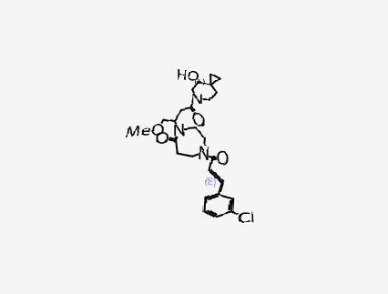 COCC(CC(=O)N1CCC2(CC2)[C@H](O)C1)N1CCN(C(=O)/C=C/c2cccc(Cl)c2)CCC1=O